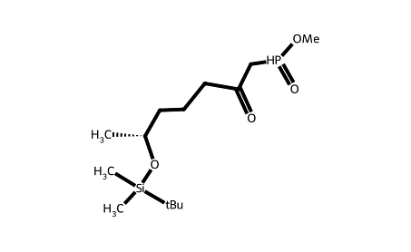 CO[PH](=O)CC(=O)CCC[C@@H](C)O[Si](C)(C)C(C)(C)C